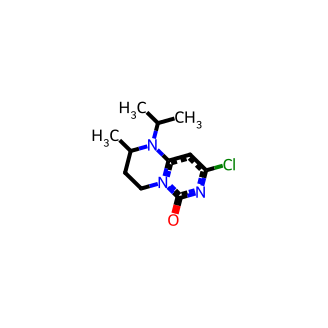 CC(C)N1c2cc(Cl)nc(=O)n2CCC1C